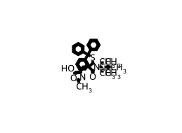 Cc1nc(CC2C(=O)N([Si](C)(C)C(C)(C)C)C2SC(c2ccccc2)(c2ccccc2)c2ccccc2)c(O)o1